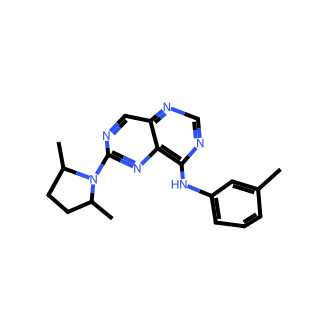 Cc1cccc(Nc2ncnc3cnc(N4C(C)CCC4C)nc23)c1